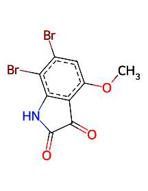 COc1cc(Br)c(Br)c2c1C(=O)C(=O)N2